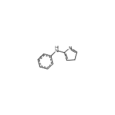 C1=NC(Nc2ccccc2)=CC1